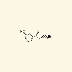 CCOC(=O)CC(=O)c1cccc(C#N)c1